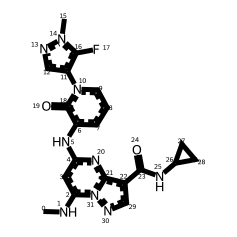 CNc1cc(Nc2cccn(-c3cnn(C)c3F)c2=O)nc2c(C(=O)NC3CC3)cnn12